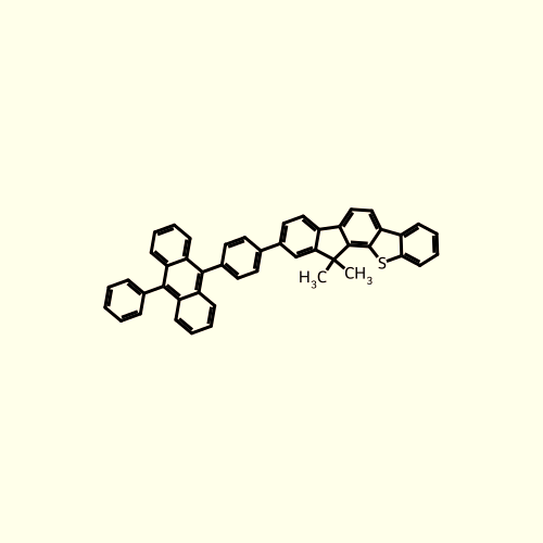 CC1(C)c2cc(-c3ccc(-c4c5ccccc5c(-c5ccccc5)c5ccccc45)cc3)ccc2-c2ccc3c(sc4ccccc43)c21